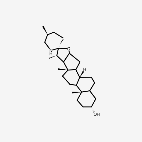 C[C@H]1CC[C@]2(NC1)OC1CC3[C@@H]4CCC5C[C@H](O)CC[C@]5(C)C4CC[C@]3(C)C1[C@@H]2C